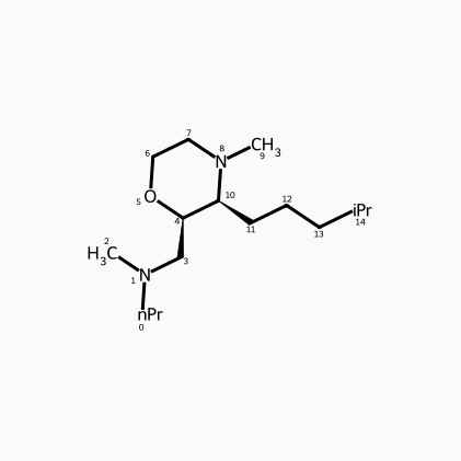 CCCN(C)C[C@H]1OCCN(C)[C@H]1CCCC(C)C